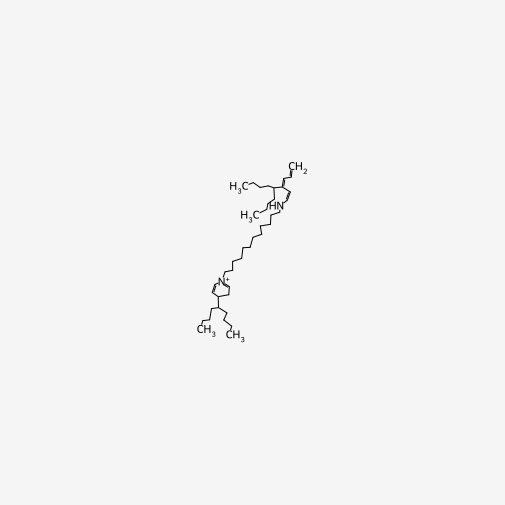 C=C/C=C(\C=C/NCCCCCCCCCCCC[N+]1=CCC(C(CCCC)CCCC)C=C1)C(CCCC)CCCC